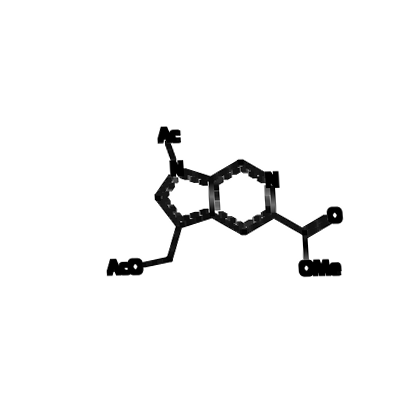 COC(=O)c1cc2c(COC(C)=O)cn(C(C)=O)c2cn1